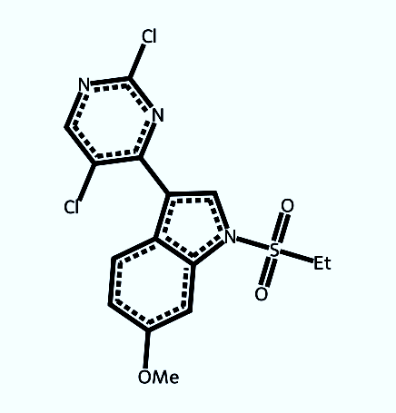 CCS(=O)(=O)n1cc(-c2nc(Cl)ncc2Cl)c2ccc(OC)cc21